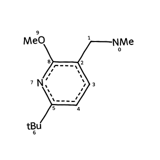 CNCc1ccc(C(C)(C)C)nc1OC